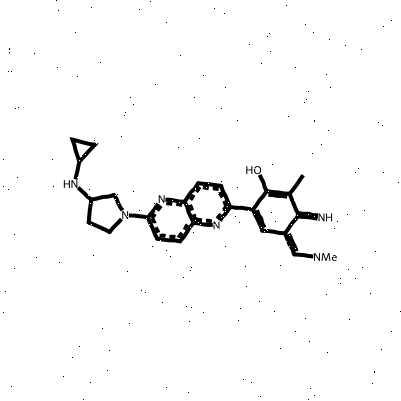 CN/C=C1/C=C(c2ccc3nc(N4CCC(NC5CC5)C4)ccc3n2)C(O)=C(C)C1=N